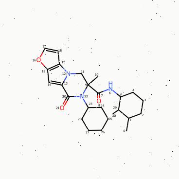 CC1CCCC(NC(=O)C2(C)Cn3c(cc4occc43)C(=O)N2C2CCCCC2)C1C